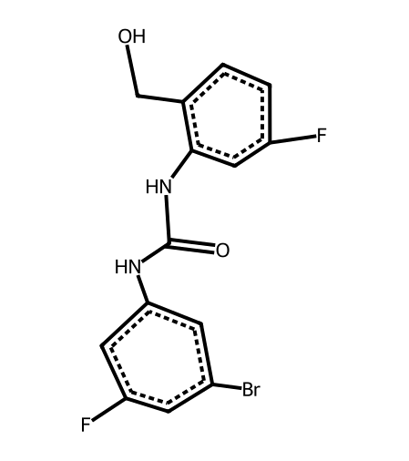 O=C(Nc1cc(F)cc(Br)c1)Nc1cc(F)ccc1CO